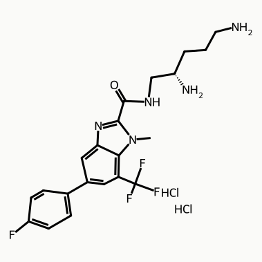 Cl.Cl.Cn1c(C(=O)NC[C@@H](N)CCCN)nc2cc(-c3ccc(F)cc3)cc(C(F)(F)F)c21